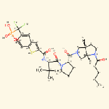 CCCCC(=O)N1CC[C@H]2CN(C(=O)[C@@H]3CCCN3C(=O)[C@@H](NC(=O)c3cc4cc(C(F)(F)P(=O)(O)O)ccc4s3)C(C)(C)C)C[C@H]21